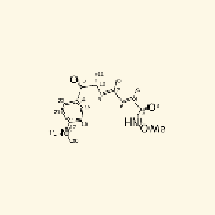 CONC(=O)/C(C)=C/C(C)=C/[C@@H](C)C(=O)c1ccc(N(C)C)cc1